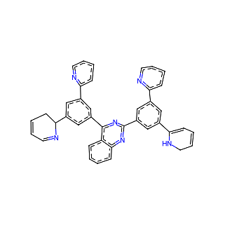 C1=CCNC(c2cc(-c3ccccn3)cc(-c3nc(-c4cc(-c5ccccn5)cc(C5CC=CC=N5)c4)c4ccccc4n3)c2)=C1